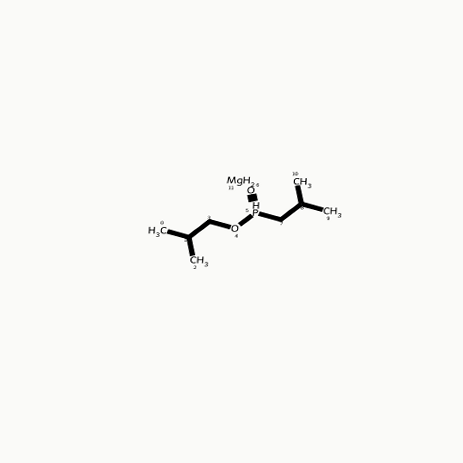 CC(C)CO[PH](=O)CC(C)C.[MgH2]